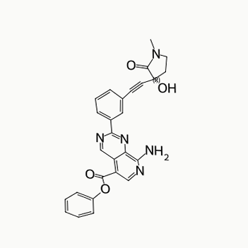 CN1CC[C@@](O)(C#Cc2cccc(-c3ncc4c(C(=O)Oc5ccccc5)cnc(N)c4n3)c2)C1=O